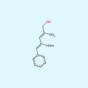 CCCCCCC(/C=C(\C)CO)=C\c1ccccc1